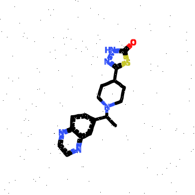 CC(c1ccc2nccnc2c1)N1CCC(c2n[nH]c(=O)s2)CC1